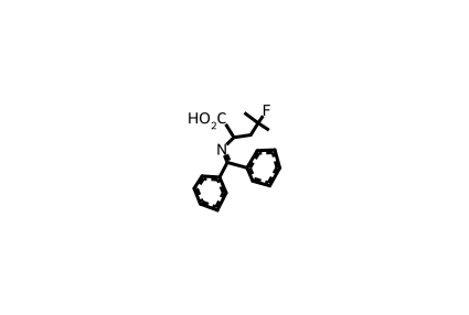 CC(C)(F)CC(N=C(c1ccccc1)c1ccccc1)C(=O)O